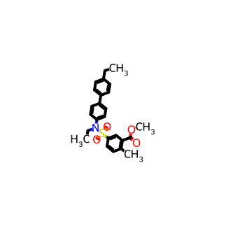 CCc1ccc(-c2ccc(N(CC)S(=O)(=O)c3ccc(C)c(C(=O)OC)c3)cc2)cc1